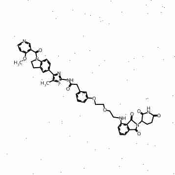 COc1ccncc1C(=O)N1CCc2cc(-c3nc(NC(=O)Cc4cccc(OCCOCCNc5cccc6c5C(=O)N(C5CCC(=O)NC5=O)C6=O)c4)sc3C)ccc21